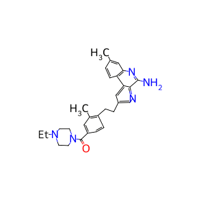 CCN1CCN(C(=O)c2ccc(CCc3cnc4c(N)nc5cc(C)ccc5c4c3)c(C)c2)CC1